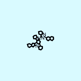 c1ccc2cc(-c3nc(-n4c5ccccc5c5c6c7cc8ccccc8cc7n7c8ccccc8c(cc54)c67)c4ccccc4n3)ccc2c1